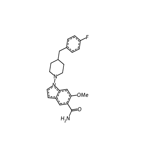 COc1cc2c(ccn2N2CCC(Cc3ccc(F)cc3)CC2)cc1C(N)=O